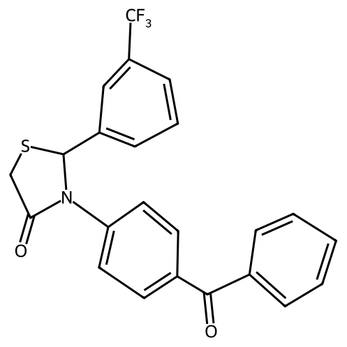 O=C(c1ccccc1)c1ccc(N2C(=O)CSC2c2cccc(C(F)(F)F)c2)cc1